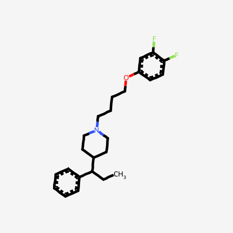 CCC(c1[c]cccc1)C1CCN(CCCCOc2ccc(F)c(F)c2)CC1